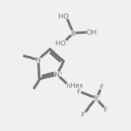 CCCCCC[n+]1ccn(C)c1C.F[B-](F)(F)F.OB(O)O